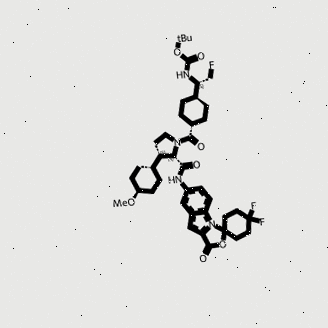 CO[C@H]1CC[C@H]([C@@H]2CCN(C(=O)[C@H]3CC[C@H]([C@@H](CF)NC(=O)OC(C)(C)C)CC3)[C@@H]2C(=O)Nc2ccc3c(c2)cc2n3C3(CCC(F)(F)CC3)OC2=O)CC1